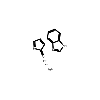 O=C1C=CC=N1.[Cl-].[Cl-].[Fe+2].c1ccc2[nH]cnc2c1